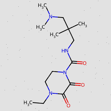 CCN1CCN(C(=O)NCC(C)(C)CN(C)C)C(=O)C1=O